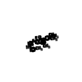 Cc1ccnc(Nc2ncc(Sc3ccnc(C(=O)NCC4(c5cc(C)on5)CCN(C(C)(C)C)CC4)c3F)s2)c1